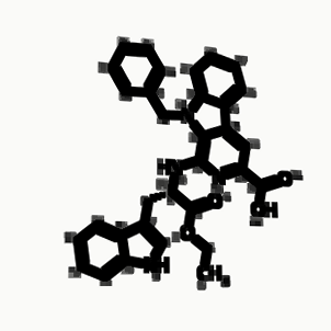 CCOC(=O)[C@H](Cc1c[nH]c2ccccc12)Nc1nc(C(=O)O)cc2c3ccccc3n(Cc3ccccc3)c12